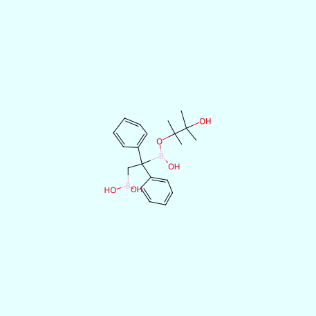 CC(C)(O)C(C)(C)OB(O)C(CB(O)O)(c1ccccc1)c1ccccc1